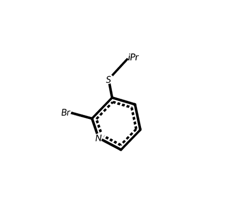 CC(C)Sc1cccnc1Br